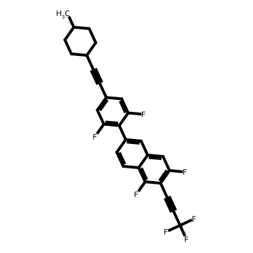 CC1CCC(C#Cc2cc(F)c(-c3ccc4c(F)c(C#CC(F)(F)F)c(F)cc4c3)c(F)c2)CC1